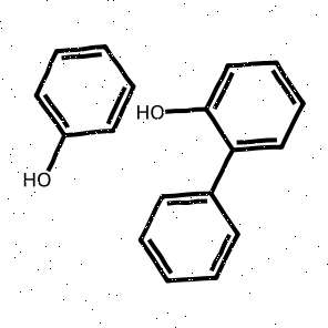 Oc1ccccc1.Oc1ccccc1-c1ccccc1